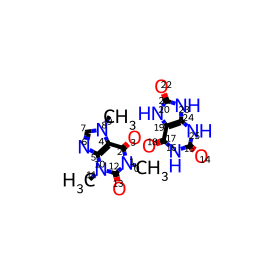 Cn1c(=O)c2c(ncn2C)n(C)c1=O.O=c1[nH]c(=O)c2[nH]c(=O)[nH]c2[nH]1